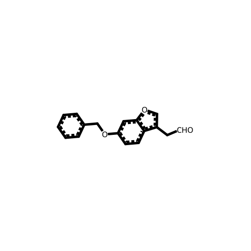 O=CCc1coc2cc(OCc3ccccc3)ccc12